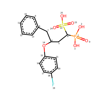 O=P(O)(O)C(CC(Cc1ccccc1)Oc1ccc(F)cc1)S(=O)(=O)O